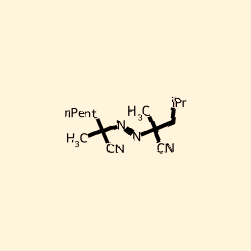 CCCCCC(C)(C#N)N=NC(C)(C#N)CC(C)C